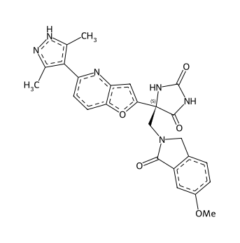 COc1ccc2c(c1)C(=O)N(C[C@@]1(c3cc4nc(-c5c(C)n[nH]c5C)ccc4o3)NC(=O)NC1=O)C2